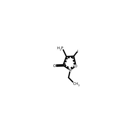 CCn1oc(I)c(P)c1=O